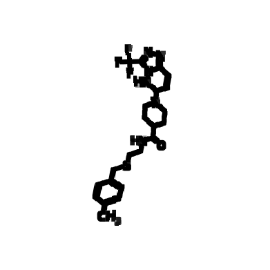 Cc1ccc(CSCCNC(=O)C2CCN(C3C=Cc4nnc(C(F)(F)F)n4N3)CC2)cc1